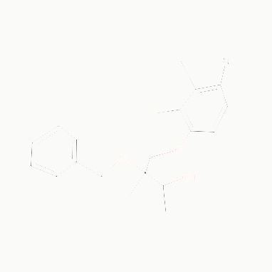 Cc1c([N+](=O)[O-])ccc(OCC(C)(OCc2ccccc2)C(C)O)c1F